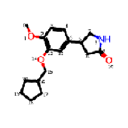 COc1ccc(C2CNC(=O)C2)cc1OCC1CCCC1